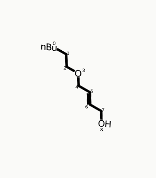 CCCCCCOCC=CCO